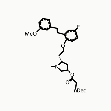 CCCCCCCCCCCC(=O)O[C@@H]1C[C@@H](CCOc2ccc(F)cc2CCc2cccc(OC)c2)N(C)C1